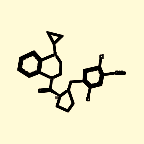 COc1cc(Cl)c(CN2CCC[C@H]2C(=O)N2CCN(C3CC3)c3ccccc32)cc1Cl